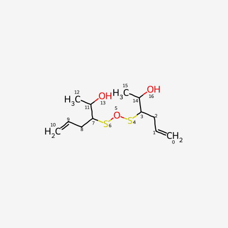 C=CCC(SOSC(CC=C)C(C)O)C(C)O